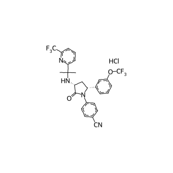 CC(C)(N[C@@H]1C[C@H](c2cccc(OC(F)(F)F)c2)N(c2ccc(C#N)cc2)C1=O)c1cccc(C(F)(F)F)n1.Cl